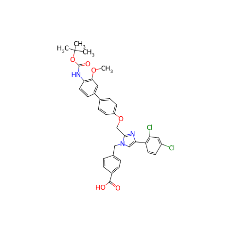 COc1cc(-c2ccc(OCc3nc(-c4ccc(Cl)cc4Cl)cn3Cc3ccc(C(=O)O)cc3)cc2)ccc1NC(=O)OC(C)(C)C